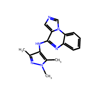 Cc1nn(C)c(C)c1Nc1nc2ccccc2n2cncc12